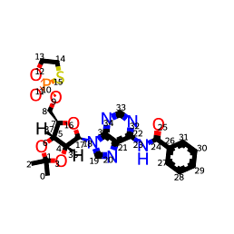 CC1(C)O[C@@H]2[C@H](O1)[C@@H](CO[P@]1(=O)OCCS1)O[C@H]2n1cnc2c(NC(=O)c3ccccc3)ncnc21